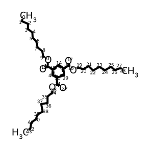 CCCCCCCCCCOC(=O)c1cc(C(=O)OCCCCCCCCCC)cc(C(=O)OCCCCCCCCCC)c1